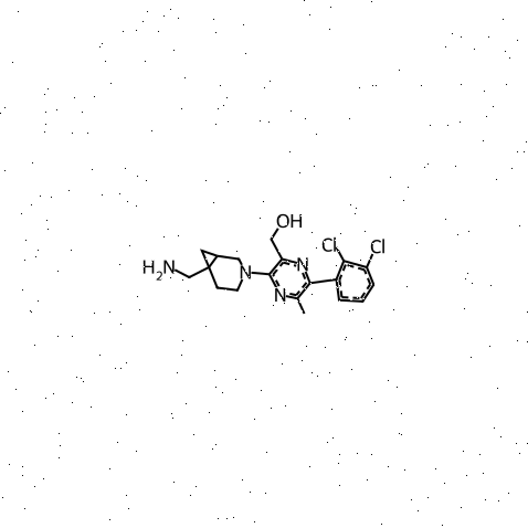 Cc1nc(N2CCC3(CN)CC3C2)c(CO)nc1-c1cccc(Cl)c1Cl